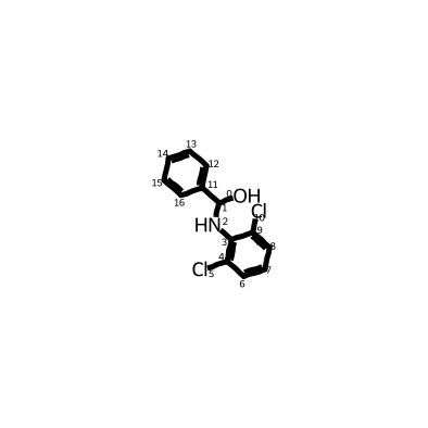 OC(Nc1c(Cl)cccc1Cl)c1ccccc1